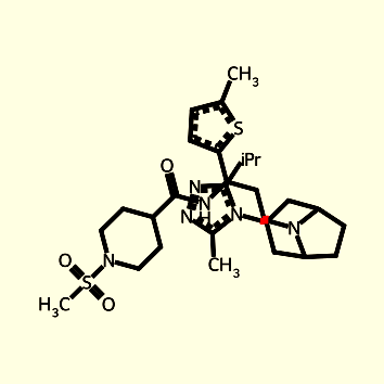 Cc1ccc(C(CCN2C3CCC2CC(n2c(C)nnc2C(C)C)C3)NC(=O)C2CCN(S(C)(=O)=O)CC2)s1